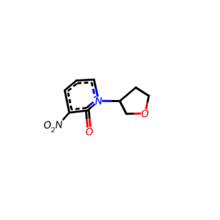 O=c1c([N+](=O)[O-])cccn1C1CCOC1